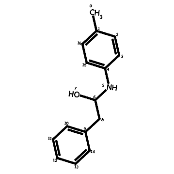 Cc1ccc(NC(O)Cc2ccccc2)cc1